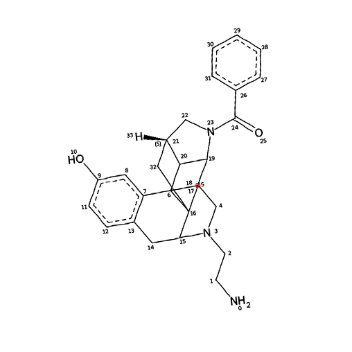 NCCN1CCC23c4cc(O)ccc4CC1C21CCC2C3[C@@H](CN2C(=O)c2ccccc2)C1